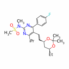 CC[C@H]1C[C@@H](/C=C/c2c(-c3ccc(F)cc3)nc(N(C)S(C)(=O)=O)nc2C(C)C)OC(C)(C)O1